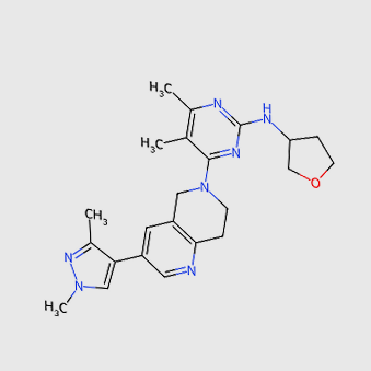 Cc1nn(C)cc1-c1cnc2c(c1)CN(c1nc(NC3CCOC3)nc(C)c1C)CC2